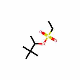 CCS(=O)(=O)OC(C)C(C)(C)C